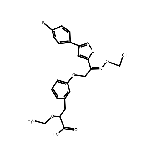 CCO/N=C(/COc1cccc(CC(OCC)C(=O)O)c1)c1cc(-c2ccc(F)cc2)no1